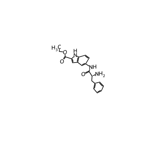 CCOC(=O)c1cc2cc(NC(=O)[C@@H](N)Cc3ccccc3)ccc2[nH]1